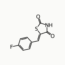 O=C1NC(=O)/C(=C/c2ccc(F)cc2)S1